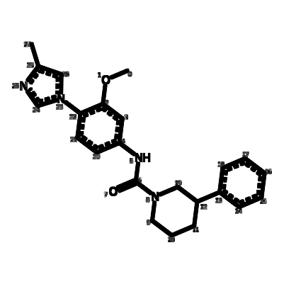 COc1cc(NC(=O)N2CCCC(c3ccccc3)C2)ccc1-n1cnc(C)c1